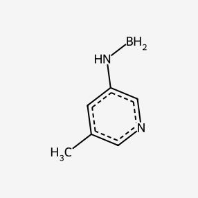 BNc1cncc(C)c1